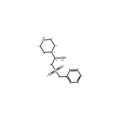 O=S(=O)(Cc1ccccc1)CC(O)N1CCOCC1